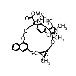 COC(=O)c1c2c3ccc(Cl)c(c3n1C)-c1c(nn(C)c1C)C(C)OCc1cc(n(C)n1)CSc1cc(c3ccccc3c1)OCCC2